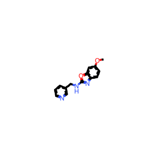 COc1ccc2nc(NCc3cccnc3)oc2c1